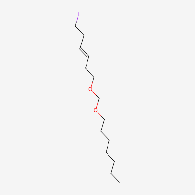 CCCCCCCOCOCCC=CCCI